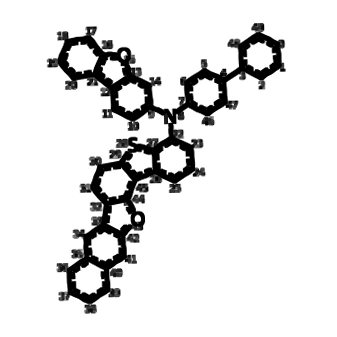 c1ccc(-c2ccc(N(c3ccc4c(c3)oc3ccccc34)c3cccc4c3sc3ccc5c6cc7ccccc7cc6oc5c34)cc2)cc1